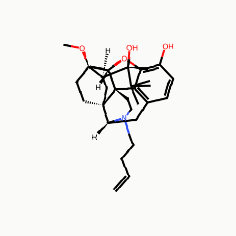 C=CCCN1CC[C@]23c4c5ccc(O)c4O[C@H]2[C@@]2(OC)CC[C@@]3(C[C@@H]2[C@](C)(O)C(C)(C)C)[C@H]1C5